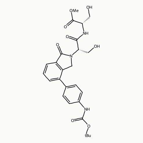 COC(=O)[C@H](CO)NC(=O)[C@H](CO)N1Cc2c(cccc2-c2ccc(NC(=O)OC(C)(C)C)cc2)C1=O